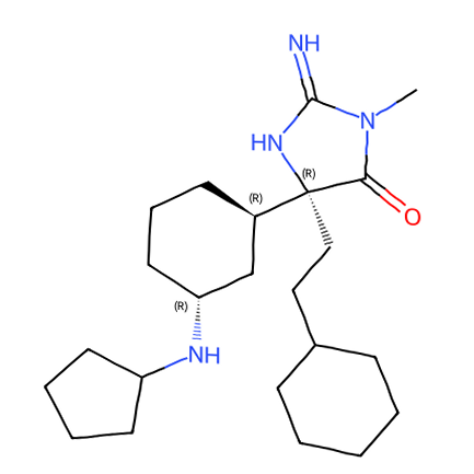 CN1C(=N)N[C@](CCC2CCCCC2)([C@@H]2CCC[C@@H](NC3CCCC3)C2)C1=O